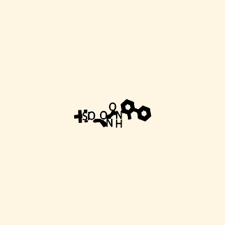 Cc1c(NC(=O)c2ncc(CO[Si](C)(C)C(C)(C)C)o2)cccc1-c1ccccc1